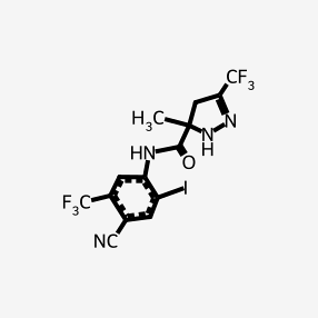 CC1(C(=O)Nc2cc(C(F)(F)F)c(C#N)cc2I)CC(C(F)(F)F)=NN1